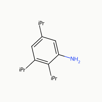 CC(C)c1cc(N)c(C(C)C)c(C(C)C)c1